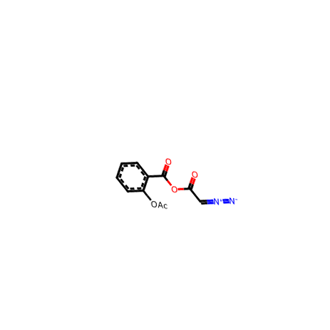 CC(=O)Oc1ccccc1C(=O)OC(=O)C=[N+]=[N-]